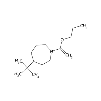 C=C(OCCC)N1CCCC(C(C)(C)C)CC1